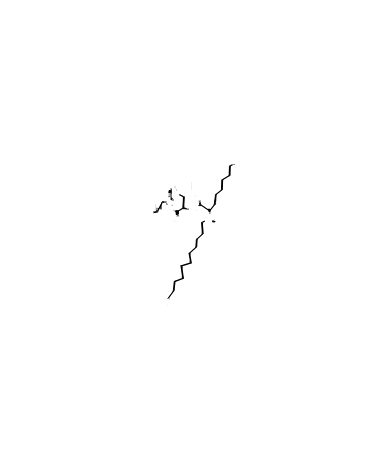 CCCCCCCCCCCC[S+]([O-])C(CCCCCCC)C(C)OC(CP(=O)(O)OCCC)C(=O)O